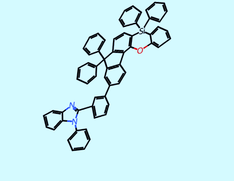 c1ccc(-n2c(-c3cccc(-c4ccc5c(c4)C(c4ccccc4)(c4ccccc4)c4ccc6c(c4-5)Oc4ccccc4[Si]6(c4ccccc4)c4ccccc4)c3)nc3ccccc32)cc1